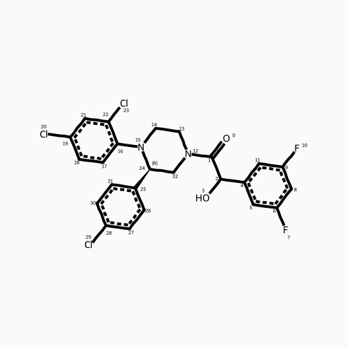 O=C(C(O)c1cc(F)cc(F)c1)N1CCN(c2ccc(Cl)cc2Cl)[C@H](c2ccc(Cl)cc2)C1